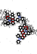 CC(C)(C)c1cc(-c2cccc3cccc(-c4ccccc4N(c4ccc(-c5ccc6c7cc(CC(C)(C)c8cc(-c9cccc%10cccc(-c%11ccccc%11N(c%11cccc(-c%12cccc%13c%12c%12ccccc%12n%13-c%12ccccc%12)c%11)c%11cc(C(C)(C)C)ccc%11-c%11ccccc%11)c9%10)cc(C(C)(C)C)c8)ccc7n(-c7ccccc7)c6c5)cc4)c4cc(C(C)(C)C)ccc4-c4ccccc4)c23)cc(C(C)(C)C)c1